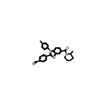 Cc1ccc(-n2c(-c3ccc(C#N)cc3)nc3cc(C(=O)N4CCCCC4C)ccc32)cc1